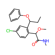 CCC(Oc1ccccc1)c1cc(Cl)ccc1C(OC)C(=O)NC